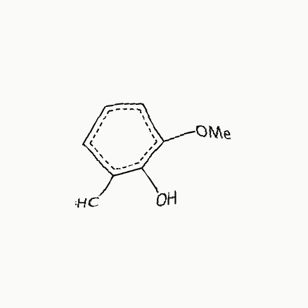 [CH]c1cccc(OC)c1O